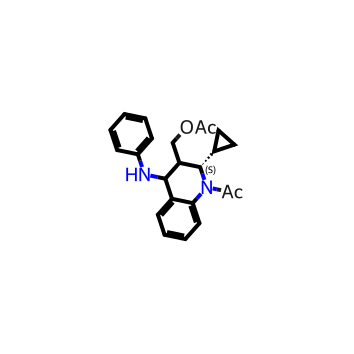 CC(=O)OCC1C(Nc2ccccc2)c2ccccc2N(C(C)=O)[C@H]1C1CC1